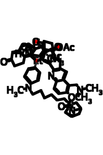 CC[C@@]1(O)C(=O)OCc2c1cc1n(c2=O)Cc2cc3c(CN(C)C)c(OC(=O)N4C5CC4CN(CCCCCCN(C)c4ccc([C@H]6C[C@@]7(C)[C@@H](CC[C@]7(OC(C)=O)C(C)=O)[C@@H]7CCC8=CC(=O)CCC8=C76)cc4)C5)ccc3nc2-1